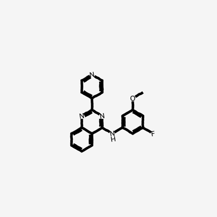 COc1cc(F)cc(Nc2nc(-c3ccncc3)nc3ccccc23)c1